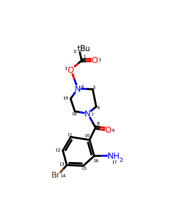 CC(C)(C)C(=O)ON1CCN(C(=O)c2ccc(Br)cc2N)CC1